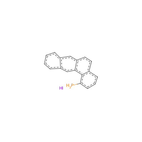 I.Pc1cccc2ccc3cc4ccccc4cc3c12